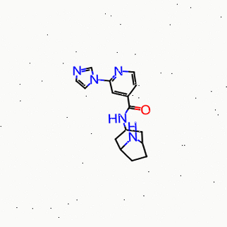 O=C(NC1CC2CCC(C1)N2)c1ccnc(-n2ccnc2)c1